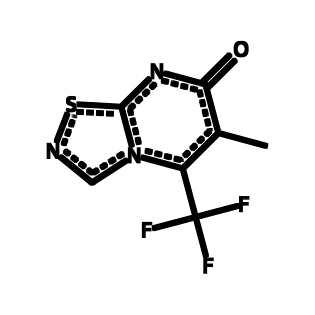 Cc1c(C(F)(F)F)n2cnsc2nc1=O